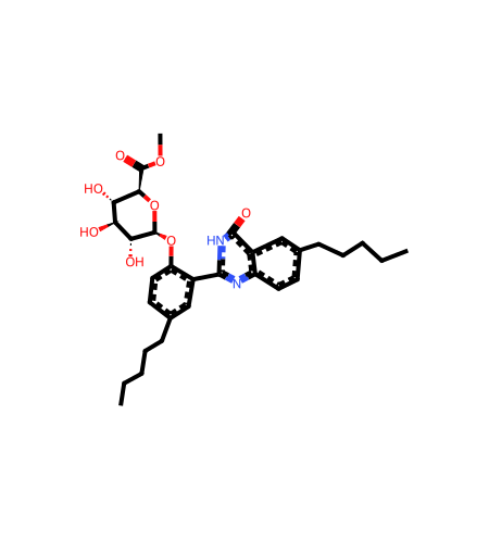 CCCCCc1ccc(O[C@@H]2O[C@H](C(=O)OC)[C@@H](O)[C@H](O)[C@H]2O)c(-c2nc3ccc(CCCCC)cc3c(=O)[nH]2)c1